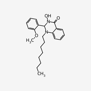 CCCCCCCCN1c2ccccc2C(=O)N(O)C1c1ccccc1OC